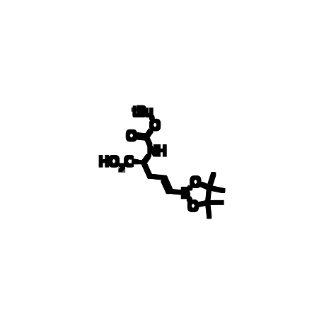 CC(C)(C)OC(=O)N[C@@H](CC=CB1OC(C)(C)C(C)(C)O1)C(=O)O